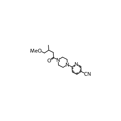 COCC(C)CC(=O)N1CCN(c2ccc(C#N)cn2)CC1